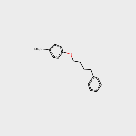 CCOC(=O)c1ccc(OCCCCc2ccccc2)cc1